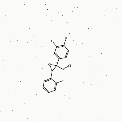 Cc1ccccc1C1OC1(CCl)c1ccc(F)c(F)c1